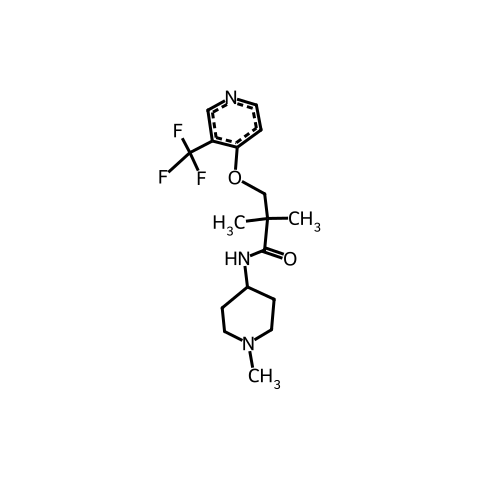 CN1CCC(NC(=O)C(C)(C)COc2ccncc2C(F)(F)F)CC1